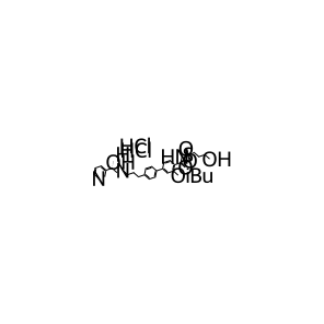 CC(C)COc1cc(-c2ccc(CCCNC[C@@H](O)c3cccnc3)cc2)ccc1C(=O)NS(=O)(=O)CCCO.Cl.Cl